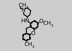 CCN1CCCC(Nc2cc(OC)cc3c2Cc2ccc(C)cc2O3)C1